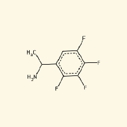 CC(N)c1cc(F)c(F)c(F)c1F